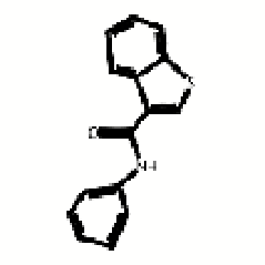 O=C(Nc1ccccc1)c1csc2ccccc12